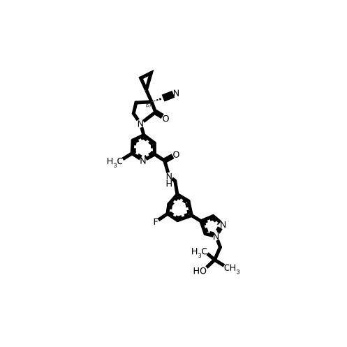 Cc1cc(N2CC[C@@](C#N)(C3CC3)C2=O)cc(C(=O)NCc2cc(F)cc(-c3cnn(CC(C)(C)O)c3)c2)n1